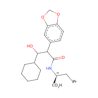 CC(C)C[C@H](NC(=O)C(c1ccc2c(c1)OCO2)C(O)C1CCCCC1)C(=O)O